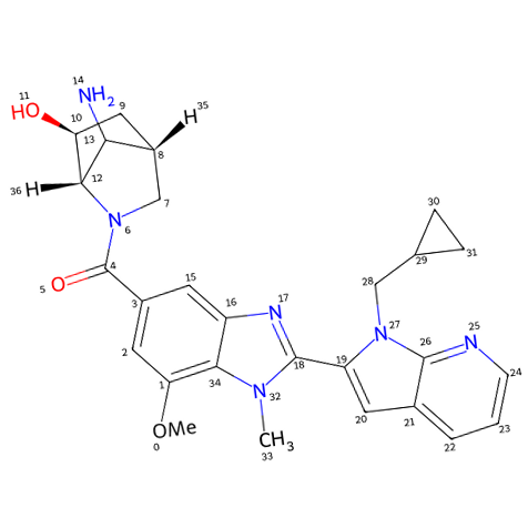 COc1cc(C(=O)N2C[C@H]3C[C@H](O)[C@@H]2C3N)cc2nc(-c3cc4cccnc4n3CC3CC3)n(C)c12